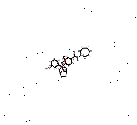 C=CCN1CC2CCC(C1)N2C(c1ccc(C(=O)NN2CCCCCC2)cc1)c1cccc(O)c1